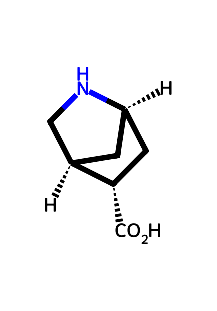 O=C(O)[C@H]1C[C@H]2C[C@@H]1CN2